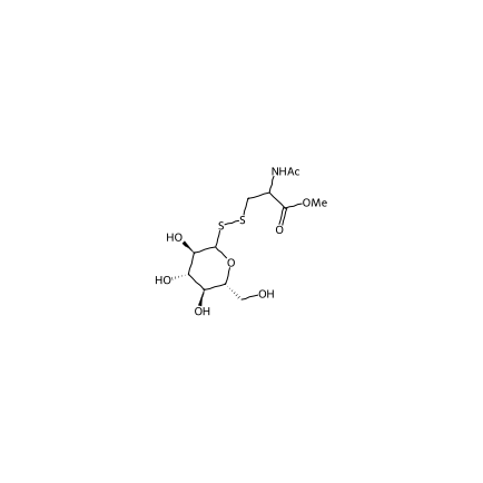 COC(=O)C(CSSC1O[C@H](CO)[C@@H](O)[C@H](O)[C@H]1O)NC(C)=O